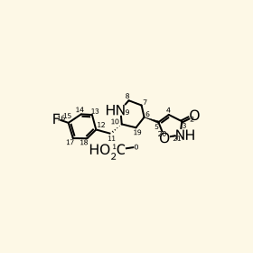 CC(=O)O.O=c1cc([C@@H]2CCN[C@@H](Cc3ccc(F)cc3)C2)o[nH]1